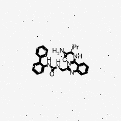 CC(C)[C@H](Nc1nc(CNC(=O)Nc2ccccc2-c2ccccc2)nc2ccccc12)C(N)=O